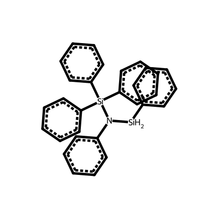 c1ccc([SiH2]N(c2ccccc2)[Si](c2ccccc2)(c2ccccc2)c2ccccc2)cc1